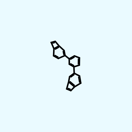 C1=Cc2cc(-c3cccc(-c4ccc5c(c4)C=C5)c3)ccc21